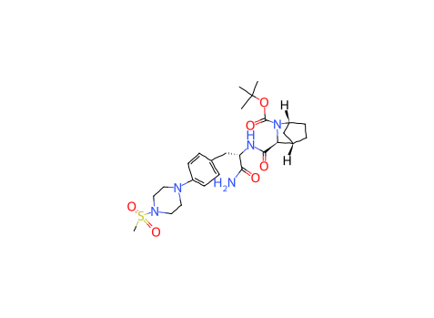 CC(C)(C)OC(=O)N1[C@@H]2CC[C@@H](C2)[C@H]1C(=O)N[C@@H](Cc1ccc(N2CCN(S(C)(=O)=O)CC2)cc1)C(N)=O